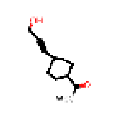 COC(=O)C1CCC(C#CCO)CC1